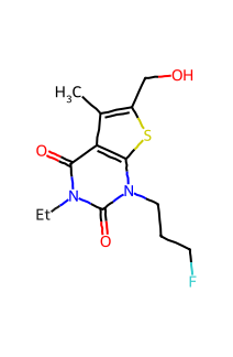 CCn1c(=O)c2c(C)c(CO)sc2n(CCCF)c1=O